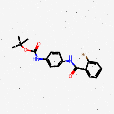 CC(C)(C)OC(=O)Nc1ccc(NC(=O)c2ccccc2Br)cc1